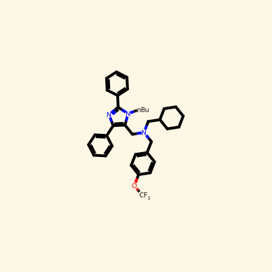 CCCCn1c(-c2ccccc2)nc(-c2ccccc2)c1CN(Cc1ccc(OC(F)(F)F)cc1)CC1CCCCC1